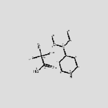 CCN(OC)C1CCNCC1.O=C(O)C(F)(F)F